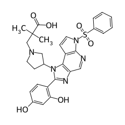 CC(C)(CN1CCC(n2c(-c3ccc(O)cc3O)nc3cnc4c(ccn4S(=O)(=O)c4ccccc4)c32)C1)C(=O)O